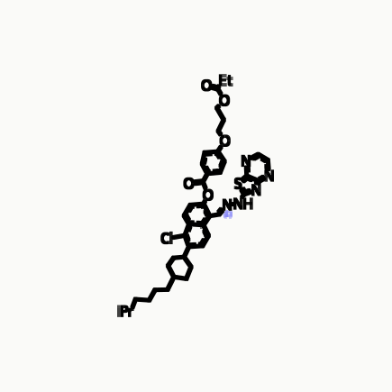 CCC(=O)OCCCOc1ccc(C(=O)Oc2ccc3c(Cl)c(C4CCC(CCCCC(C)C)CC4)ccc3c2/C=N/Nc2nc3nccnc3s2)cc1